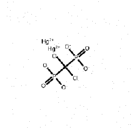 O=P([O-])([O-])C(Cl)(Cl)P(=O)([O-])[O-].[Hg+2].[Hg+2]